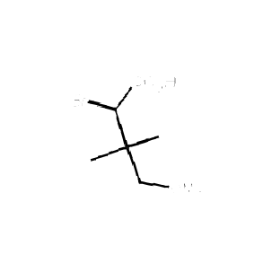 COCC(C)(C)C(Br)C(=O)O